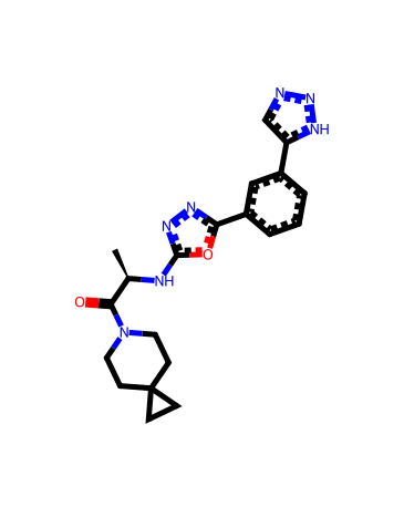 C[C@@H](Nc1nnc(-c2cccc(-c3cnn[nH]3)c2)o1)C(=O)N1CCC2(CC1)CC2